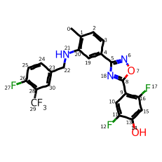 Cc1ccc(-c2noc(-c3cc(F)c(O)cc3F)n2)cc1NCc1ccc(F)c(C(F)(F)F)c1